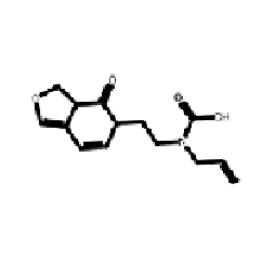 C=CCN(CCC1C=CC2=COCC2C1=O)C(=O)O